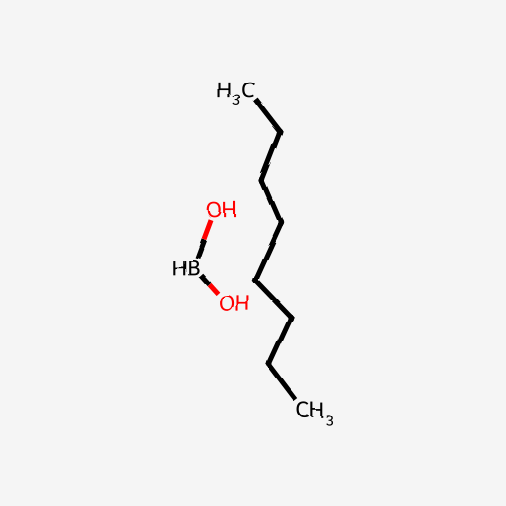 CCCCCCCC.OBO